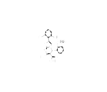 Br.Br.COc1ccccc1[C@H]1C(C(=O)O)=C(C)N=C2SC(c3c(Cl)cccc3Cl)=CN21